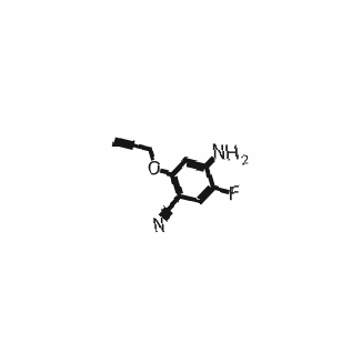 C#CCOc1cc(N)c(F)cc1C#N